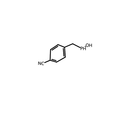 N#Cc1ccc(CPO)cc1